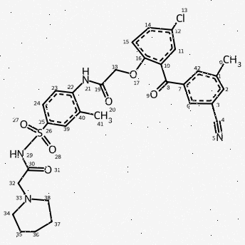 Cc1cc(C#N)cc(C(=O)c2cc(Cl)ccc2OCC(=O)Nc2ccc(S(=O)(=O)NC(=O)CN3CCCCC3)cc2C)c1